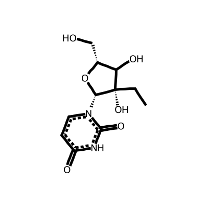 CC[C@]1(O)C(O)[C@@H](CO)O[C@H]1n1ccc(=O)[nH]c1=O